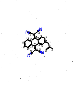 C=C(C)Cc1ccc2c(=C(C#N)C#N)c3ccccc3c(=C(C#N)C#N)c2c1